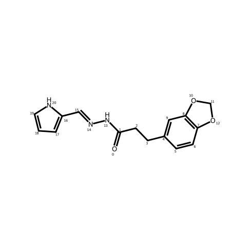 O=C(CCc1ccc2c(c1)OCO2)N/N=C/c1ccc[nH]1